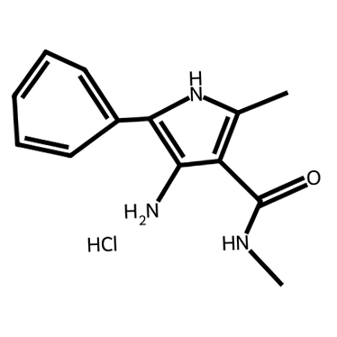 CNC(=O)c1c(C)[nH]c(-c2ccccc2)c1N.Cl